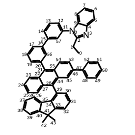 CCc1nc2ccccc2n1-c1cccc(-c2cccc(-c3c4ccccc4c(-c4cccc5c4-c4ccccc4C5(C)C)c4cc(-c5ccccc5)ccc34)c2)c1